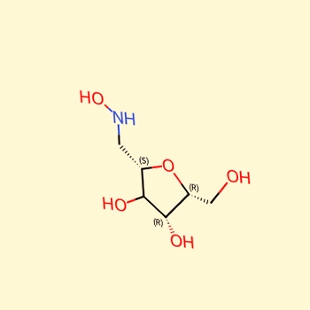 OC[C@H]1O[C@@H](CNO)C(O)[C@H]1O